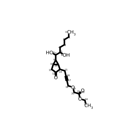 CCCCCC(O)C(O)C1C2CC(=O)C(CC#CCOCC(=O)OCC)C21